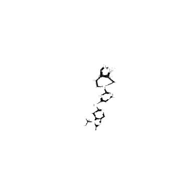 Cc1nc2cnc(Nc3ccnc(N4CCc5cn[nH]c5C4)n3)cc2n1C(C)C